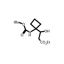 CCOC(=O)CC(O)C1(NC(=O)OC(C)(C)C)CCC1